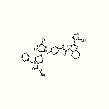 CCC(=O)N[C@H](Cc1ccc(NC(=O)[C@@H](NC(=O)c2ccnn2C)C2CCCCC2)cc1)C(O)N1CCN(C(=O)OC(C)(C)C)[C@@H](Cc2ccccc2)C1